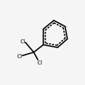 ClC(Cl)(Cl)c1cc[c]cc1